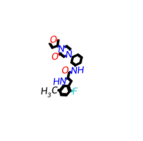 Cc1ccc(F)c2c1NC(C(=O)N[C@@H]1CCC[C@@H](N3CCN(C4CCOC4)C(=O)C3)C1)C2